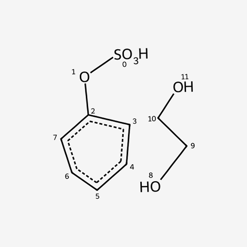 O=S(=O)(O)Oc1ccccc1.OCCO